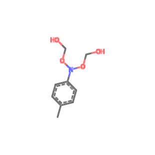 Cc1ccc(N(OCO)OCO)cc1